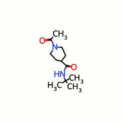 CC(=O)N1CCC(C(=O)NC(C)(C)C)CC1